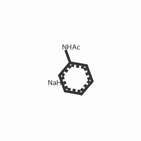 CC(=O)Nc1cc[c]cc1.[NaH]